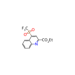 CCOC(=O)c1cc(S(=O)(=O)C(F)(F)F)c2ccccc2n1